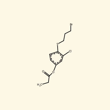 CCC(=O)Oc1ccc(SCCCBr)c(Cl)c1